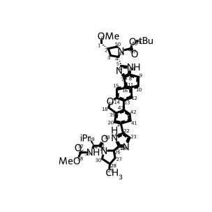 COC[C@H]1C[C@@H](c2nc3c(ccc4cc5c(cc43)OCc3cc(-c4cnc(C6CC(C)CN6C(=O)[C@@H](NC(=O)OC)C(C)C)[nH]4)ccc3-5)[nH]2)N(C(=O)OC(C)(C)C)C1